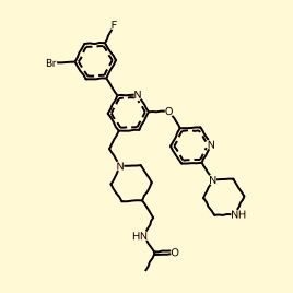 CC(=O)NCC1CCN(Cc2cc(Oc3ccc(N4CCNCC4)nc3)nc(-c3cc(F)cc(Br)c3)c2)CC1